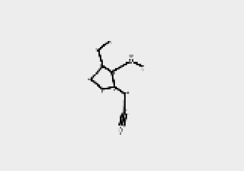 [CH2]CC1C[CH]C(CC#N)C1OC